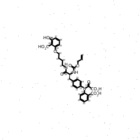 C=CCOC(=O)N[C@@H](Cc1ccc(N(C(=O)C(=O)O)c2ccccc2C(=O)O)cc1)C(=O)NCCCCOc1cccc(O)c1C(=O)O